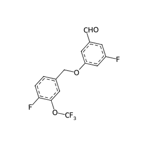 O=Cc1cc(F)cc(OCc2ccc(F)c(OC(F)(F)F)c2)c1